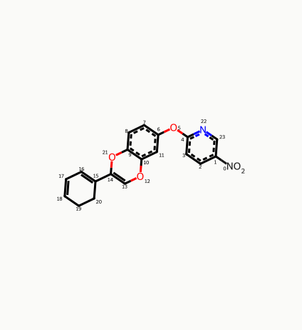 O=[N+]([O-])c1ccc(Oc2ccc3c(c2)OC=C(C2=CC=CCC2)O3)nc1